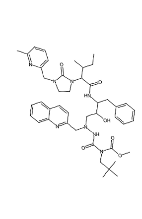 CCC(C)C(C(=O)NC(Cc1ccccc1)C(O)CN(Cc1ccc2ccccc2n1)NC(=O)N(CC(C)(C)C)C(=O)OC)N1CCN(Cc2cccc(C)n2)C1=O